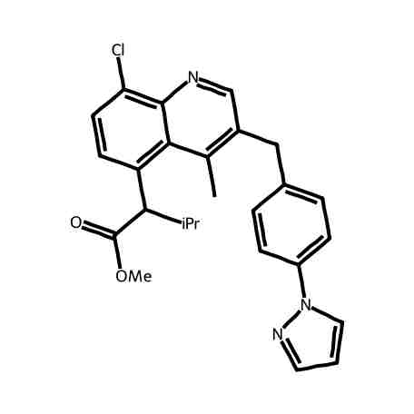 COC(=O)C(c1ccc(Cl)c2ncc(Cc3ccc(-n4cccn4)cc3)c(C)c12)C(C)C